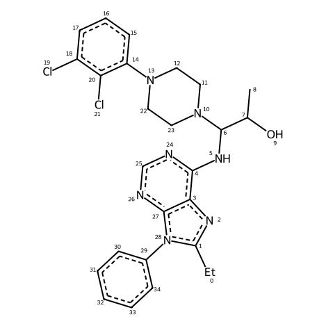 CCc1nc2c(NC(C(C)O)N3CCN(c4cccc(Cl)c4Cl)CC3)ncnc2n1-c1ccccc1